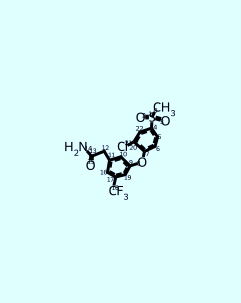 CS(=O)(=O)c1ccc(Oc2cc(CC(N)=O)cc(C(F)(F)F)c2)c(Cl)c1